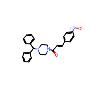 O=C(/C=C/c1ccc(NO)cc1)N1CCN(C(c2ccccc2)c2ccccc2)CC1